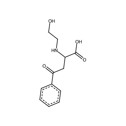 O=C(CC(NCCO)C(=O)O)c1ccccc1